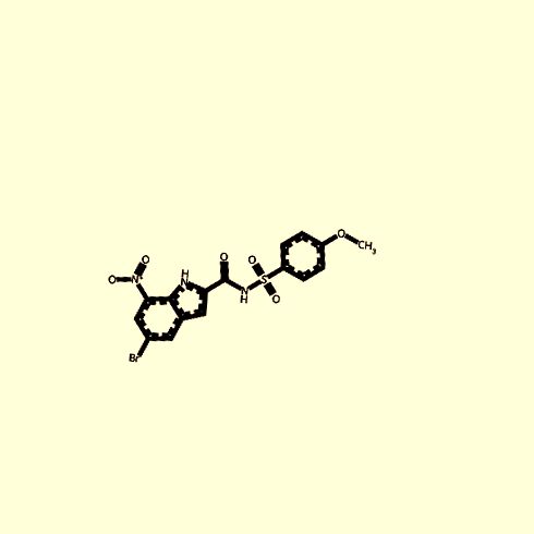 COc1ccc(S(=O)(=O)NC(=O)c2cc3cc(Br)cc([N+](=O)[O-])c3[nH]2)cc1